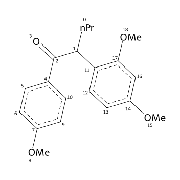 CCCC(C(=O)c1ccc(OC)cc1)c1ccc(OC)cc1OC